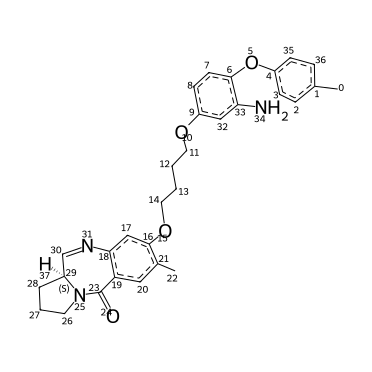 Cc1ccc(Oc2ccc(OCCCCOc3cc4c(cc3C)C(=O)N3CCC[C@H]3C=N4)cc2N)cc1